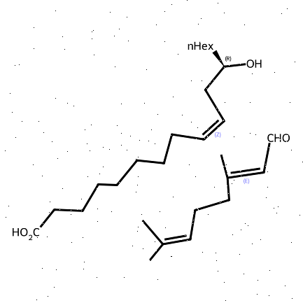 CC(C)=CCC/C(C)=C/C=O.CCCCCC[C@@H](O)C/C=C\CCCCCCCC(=O)O